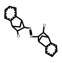 ClC1C2CC(c3ccccc32)C1/N=N/C1C2CC(c3ccccc32)C1Cl